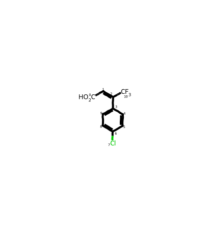 O=C(O)/C=C(\c1ccc(Cl)cc1)C(F)(F)F